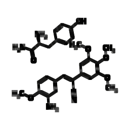 COc1ccc(C=C(C#N)c2cc(OC)c(OC)c(OC)c2)cc1N.NC(=O)[C@@H](N)Cc1ccc(O)cc1